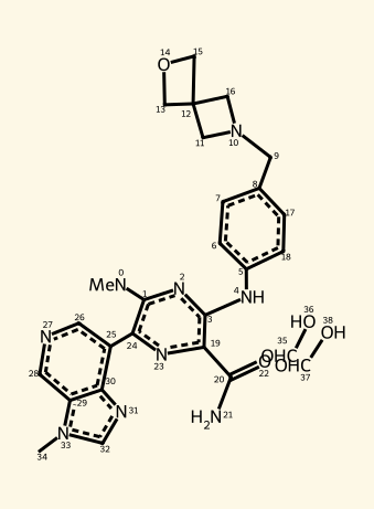 CNc1nc(Nc2ccc(CN3CC4(COC4)C3)cc2)c(C(N)=O)nc1-c1cncc2c1ncn2C.O=CO.O=CO